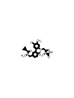 Cc1cc(OCc2n[nH]c(=O)n2C)c(-c2cc(CN(C)C(=O)C3CC3)ccc2F)cc1Cl